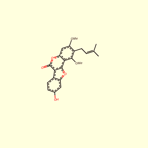 COc1cc2oc(=O)c3c4ccc(O)cc4oc3c2c(OC)c1CC=C(C)C